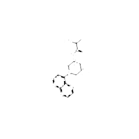 CC(N)C(=O)N[C@@H]1C[C@H](C)CN(c2ccnc3nccnc23)C1